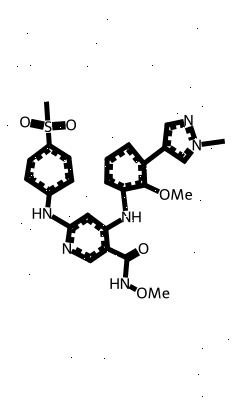 CONC(=O)c1cnc(Nc2ccc(S(C)(=O)=O)cc2)cc1Nc1cccc(-c2cnn(C)c2)c1OC